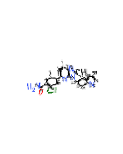 Cc1nc2ccc(-c3ccc(C(N)=O)c(Cl)c3)nc2n1Cc1ccc2ncccc2c1